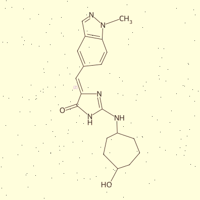 Cn1ncc2cc(/C=C3\N=C(NC4CCCC(O)CC4)NC3=O)ccc21